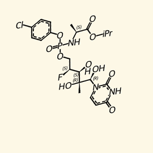 CC(C)OC(=O)[C@H](C)NP(=O)(OC[C@H](F)[C@@H](O)[C@@](C)(O)[C@@H](O)n1ccc(=O)[nH]c1=O)Oc1ccc(Cl)cc1